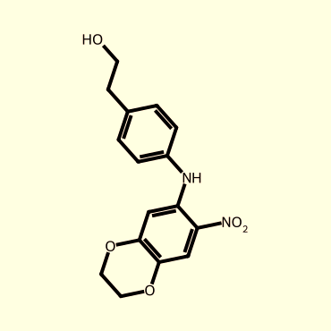 O=[N+]([O-])c1cc2c(cc1Nc1ccc(CCO)cc1)OCCO2